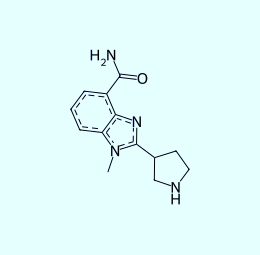 Cn1c(C2CCNC2)nc2c(C(N)=O)cccc21